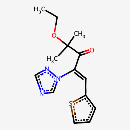 CCOC(C)(C)C(=O)/C(=C/c1cccs1)n1cncn1